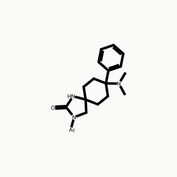 CC(=O)N1CC2(CCC(c3ccccc3)(N(C)C)CC2)NC1=O